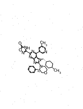 Cc1cncc(-c2nc(-c3noc(=O)[nH]3)nc3nc(N4CCOC[C@H]4c4ccccc4)n(C[C@H]4CC[C@H](C)CC4)c23)c1